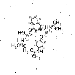 CC(=O)Nc1ccc(OCC(O)CNC(C)C)cc1.CC(C)NCC(O)COc1cccc2ccccc12